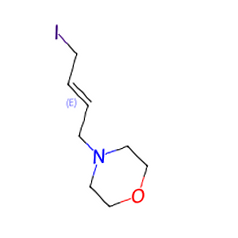 IC/C=C/CN1CCOCC1